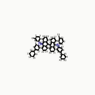 Cc1cccc(N(c2ccc(-c3ccccc3)cc2)c2c3ccccc3c(-c3c4ccccc4c(N(c4ccc(-c5ccccc5)cc4)c4cccc(C)c4)c4ccccc34)c3ccccc23)c1